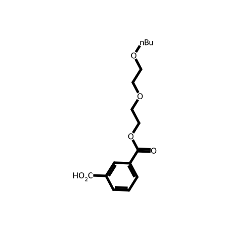 CCCCOCCOCCOC(=O)c1cccc(C(=O)O)c1